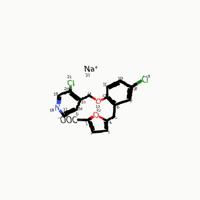 O=C([O-])c1ccc(Cc2cc(Cl)ccc2OCc2ccncc2Cl)o1.[Na+]